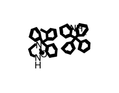 Cc1ccccc1C(c1ccccc1)(c1ccccc1)N1CCCNC1=O.Nc1ccccc1C(c1ccccc1)(c1ccccc1)c1ccccc1